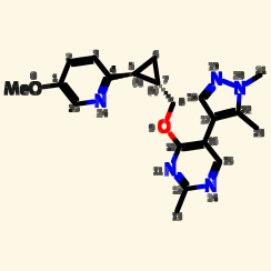 COc1ccc([C@H]2C[C@@H]2COc2nc(C)ncc2-c2cnn(C)c2C)nc1